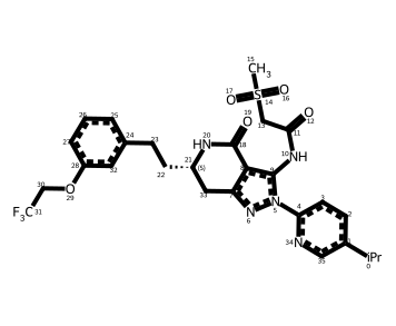 CC(C)c1ccc(-n2nc3c(c2NC(=O)CS(C)(=O)=O)C(=O)N[C@@H](CCc2cccc(OCC(F)(F)F)c2)C3)nc1